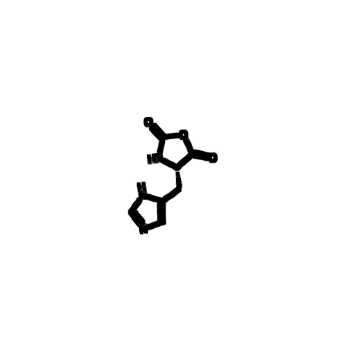 O=C1N[C@@H](Cc2cnc[nH]2)C(=O)O1